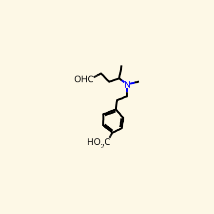 CC(CCC=O)N(C)CCc1ccc(C(=O)O)cc1